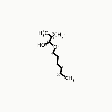 [CH2][C@H](C)C(O)OCCCCCC